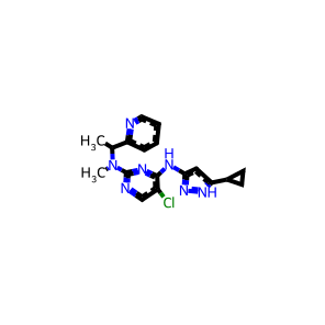 CC(c1ccccn1)N(C)c1ncc(Cl)c(Nc2cc(C3CC3)[nH]n2)n1